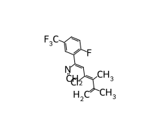 C=N/C(=C\C(Cl)=C(/C)C(=C)C)c1cc(C(F)(F)F)ccc1F